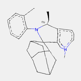 Cc1ccccc1N1[C@@H](C)c2ccn(C)c2C12C1CC3CC(C1)CC2C3